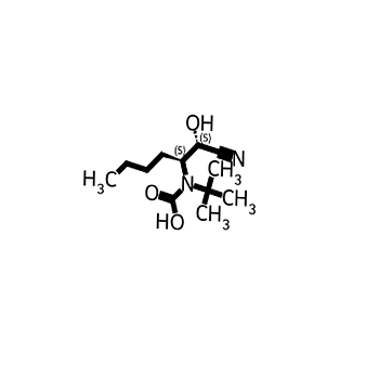 CCCC[C@@H]([C@H](O)C#N)N(C(=O)O)C(C)(C)C